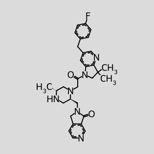 C[C@@H]1CN(CC(=O)N2CC(C)(C)c3ncc(Cc4ccc(F)cc4)cc32)[C@@H](CN2Cc3ccncc3C2=O)CN1